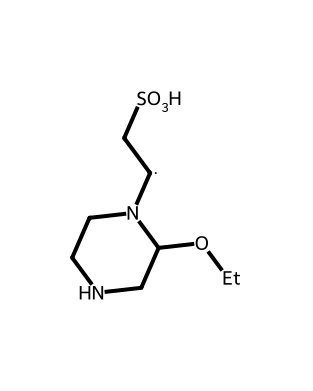 CCOC1CNCCN1[CH]CS(=O)(=O)O